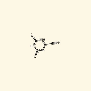 N#Cc1cc(=O)[nH]c(=O)[nH]1